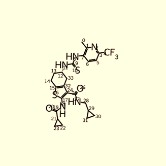 Cc1nc(C(F)(F)F)ccc1NC(=S)N[C@H]1CCc2sc(NC(=O)C3CC3)c(C(=O)NCC3CC3)c2C1